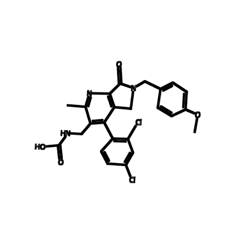 COc1ccc(CN2Cc3c(nc(C)c(CNC(=O)O)c3-c3ccc(Cl)cc3Cl)C2=O)cc1